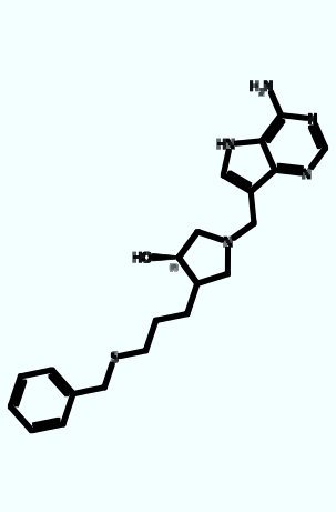 Nc1ncnc2c(CN3CC(CCCSCc4ccccc4)[C@@H](O)C3)c[nH]c12